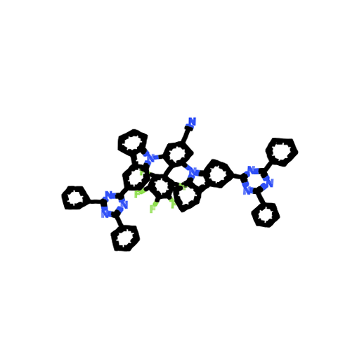 N#Cc1cc(-n2c3ccccc3c3cc(-c4nc(-c5ccccc5)nc(-c5ccccc5)n4)ccc32)c(-c2c(F)c(F)c(F)c(F)c2F)c(-n2c3ccccc3c3cc(-c4nc(-c5ccccc5)nc(-c5ccccc5)n4)ccc32)c1